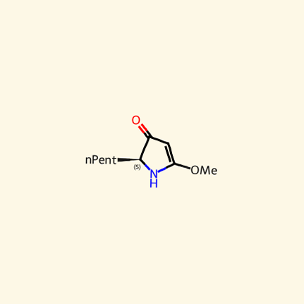 CCCCC[C@@H]1NC(OC)=CC1=O